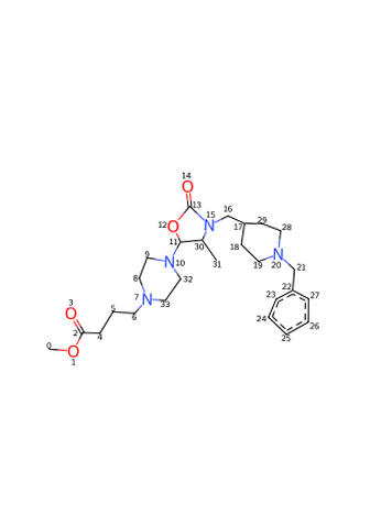 COC(=O)CCCN1CCN(C2OC(=O)N(CC3CCN(Cc4ccccc4)CC3)C2C)CC1